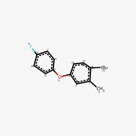 Cc1cc(Oc2ccc(F)cc2)ccc1C(C)(C)C